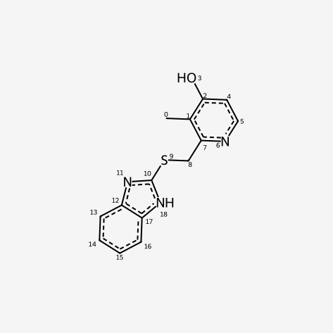 Cc1c(O)ccnc1CSc1nc2ccccc2[nH]1